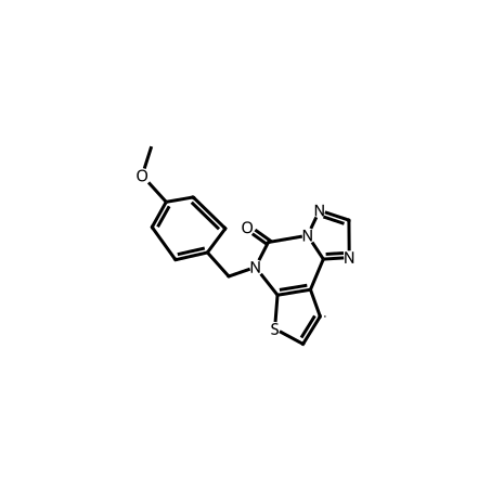 COc1ccc(Cn2c(=O)n3ncnc3c3[c]csc32)cc1